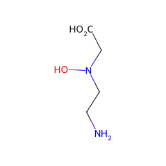 NCCN(O)CC(=O)O